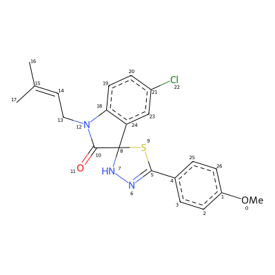 COc1ccc(C2=NNC3(S2)C(=O)N(CC=C(C)C)c2ccc(Cl)cc23)cc1